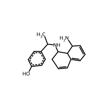 CC(NC1CC=CC2=CC=CC(N)C21)c1ccc(O)cc1